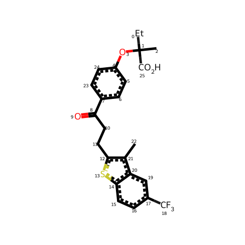 CCC(C)(Oc1ccc(C(=O)CCc2sc3ccc(C(F)(F)F)cc3c2C)cc1)C(=O)O